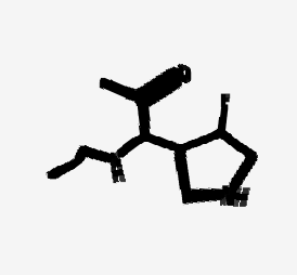 CCNC(C(C)=O)C1CNCC1F